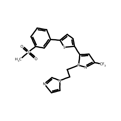 CS(=O)(=O)c1cccc(-c2ccc(-c3cc(C(F)(F)F)nn3CCn3ccnc3)s2)c1